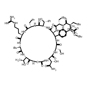 CC[C@H](C)[C@@H]1NC(=O)[C@@H](CCCNC(=N)N)NC(=O)[C@H](CC(C)C)NC(=O)[C@H]([C@H](O)C(C)C)NC(=O)[C@@H](NC(=O)[C@H](CC(C)(C)C)NC(=O)[C@@H](CC(C)(C)C)NC(=O)OC(C)(C)C)C(c2ccc(N(C)C)cc2)NC(=O)[C@H](CO)NC(=O)[C@H]([C@H](O)C(N)=O)NC(=O)CNC(=O)[C@H]([C@H](C)O)NC1=O